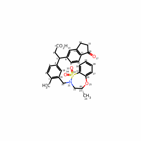 Cc1ccc(C(CC(=O)O)c2ccc3c(c2)CCC3=O)cc1CN1C[C@@H](C)Oc2ccccc2S1(=O)=O